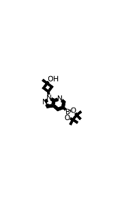 CC1(O)CC(n2ncc3cc(B4OC(C)(C)C(C)(C)O4)cnc32)C1